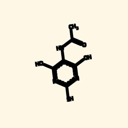 CC(=O)Nc1c(O)nc(S)nc1O